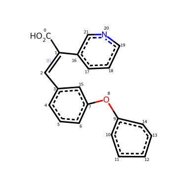 O=C(O)/C(=C/c1cccc(Oc2ccccc2)c1)c1cccnc1